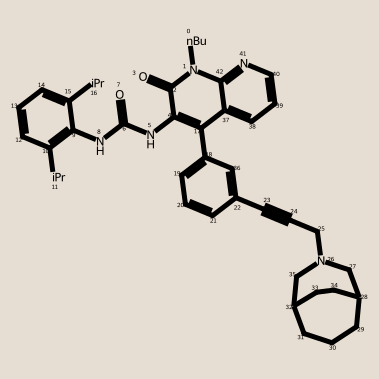 CCCCn1c(=O)c(NC(=O)Nc2c(C(C)C)cccc2C(C)C)c(-c2cccc(C#CCN3CC4CCCC(CC4)C3)c2)c2cccnc21